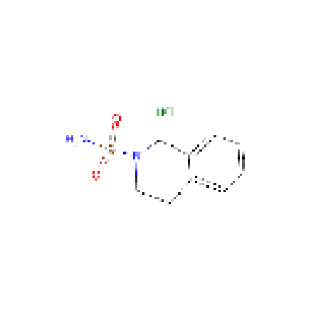 Cl.NS(=O)(=O)N1CCc2ccccc2C1